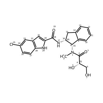 CN(C(=O)[C@@H](O)CO)[C@H]1c2ccccc2C[C@H]1NC(=O)c1cc2cc(Cl)ccc2[nH]1